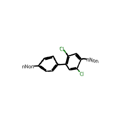 CCCCCCCCCc1ccc(-c2cc(Cl)c(CCCCCCCCC)cc2Cl)cc1